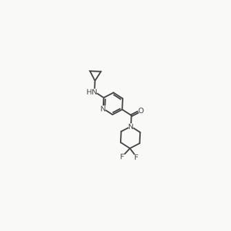 O=C(c1ccc(NC2CC2)nc1)N1CCC(F)(F)CC1